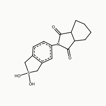 O=C1C2CCCCC2C(=O)N1c1ccc2c(c1)CS(O)(O)C2